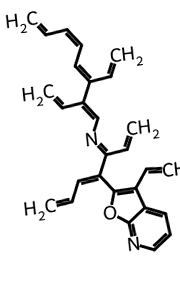 C=C\C=C/C=C(C=C)/C(C=C)=C/N=C(C=C)/C(=C/C=C)c1oc2ncccc2c1C=C